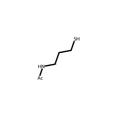 CC(=O)N[CH]CCS